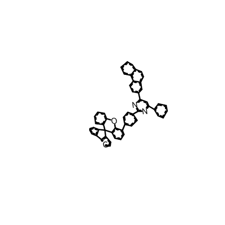 c1ccc(-c2cc(-c3ccc4c(ccc5ccccc54)c3)nc(-c3ccc(-c4cccc5c4Oc4ccccc4C54c5ccccc5-c5ccccc54)cc3)n2)cc1